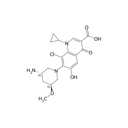 CO[C@H]1C[C@H](N)CN(c2c(O)cc3c(=O)c(C(=O)O)cn(C4CC4)c3c2Cl)C1